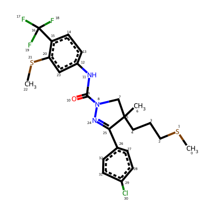 CSCCCC1(C)CN(C(=O)Nc2ccc(C(F)(F)F)c(SC)c2)N=C1c1ccc(Cl)cc1